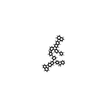 CC1(C)c2ccccc2-c2ccc(-c3cc4cc5c(cc4cc3-c3cccc(-c4ccc6oc7ccc(-c8cc9cc%10c(cc9cc8-c8cccc(-c9ccccc9)c8)-c8cccc9cccc-%10c89)cc7c6c4)c3)-c3cccc4cccc-5c34)cc21